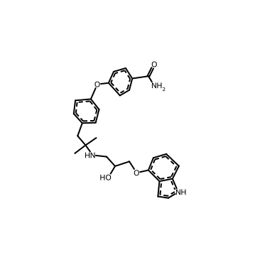 CC(C)(Cc1ccc(Oc2ccc(C(N)=O)cc2)cc1)NCC(O)COc1cccc2[nH]ccc12